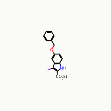 CCOC(=O)c1[nH]c2ccc(OCc3ccccc3)cc2c1I